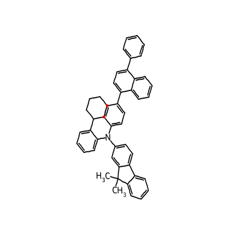 CC1(C)c2ccccc2-c2ccc(N(c3ccc(-c4ccc(-c5ccccc5)c5ccccc45)cc3)c3ccccc3C3CCCCC3)cc21